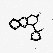 O=C1Cc2cc3ccccc3cc2C(c2ccccc2F)N1